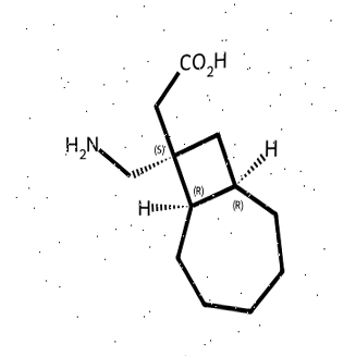 NC[C@]1(CC(=O)O)C[C@H]2CCCCC[C@H]21